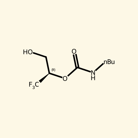 CCCCNC(=O)O[C@H](CO)C(F)(F)F